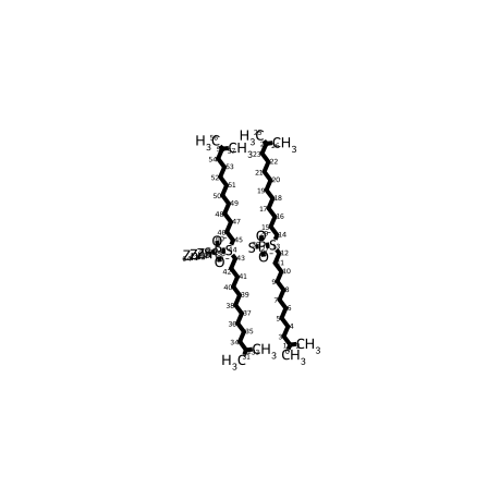 CC(C)CCCCCCCCCCS(CCCCCCCCCCC(C)C)=P([O-])([O-])[S-].CC(C)CCCCCCCCCCS(CCCCCCCCCCC(C)C)=P([O-])([O-])[S-].[Zn+2].[Zn+2].[Zn+2]